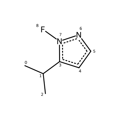 CC(C)c1ccnn1F